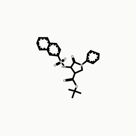 CC(C)(C)OC(=O)C1CN(c2ccccc2)C(=O)C1NS(=O)(=O)c1ccc2ccccc2c1